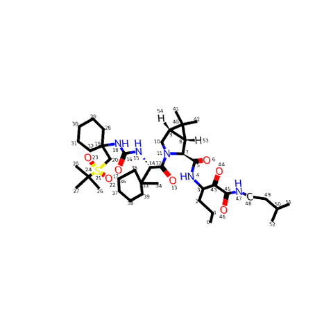 CCCC(NC(=O)[C@@H]1[C@@H]2[C@H](CN1C(=O)[C@@H](NC(=O)NC1(CS(=O)(=O)C(C)(C)C)CCCCC1)C1(C)CCCCC1)C2(C)C)C(=O)C(=O)NCCC(C)C